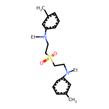 CCN(CCS(=O)(=O)CCN(CC)c1cccc(C)c1)c1cccc(C)c1